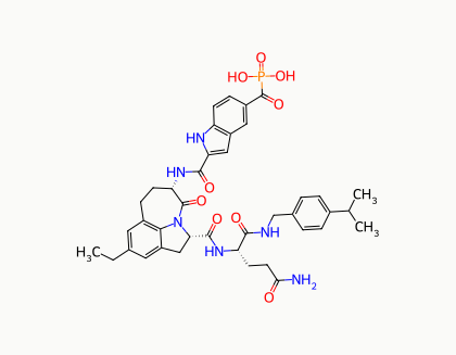 CCc1cc2c3c(c1)C[C@@H](C(=O)N[C@@H](CCC(N)=O)C(=O)NCc1ccc(C(C)C)cc1)N3C(=O)[C@@H](NC(=O)c1cc3cc(C(=O)P(=O)(O)O)ccc3[nH]1)CC2